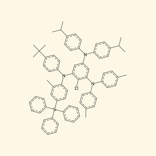 Cc1ccc(N(c2ccc(C)cc2)c2cc(N(c3ccc(C(C)C)cc3)c3ccc(C(C)C)cc3)cc(N(c3ccc(C(C)(C)C)cc3)c3ccc([Si](c4ccccc4)(c4ccccc4)c4ccccc4)cc3C)c2Cl)cc1